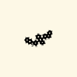 c1ccc2cc3c(cc2c1)sc1ccc(-c2c4ccccc4c(-c4ccc5c(ccc6ccccc65)c4)c4ccccc24)cc13